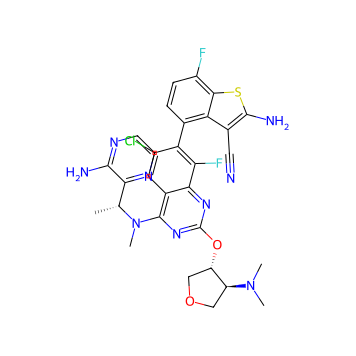 C[C@H](c1nccnc1N)N(C)c1nc(O[C@H]2COC[C@@H]2N(C)C)nc2c(F)c(-c3ccc(F)c4sc(N)c(C#N)c34)c(Cl)cc12